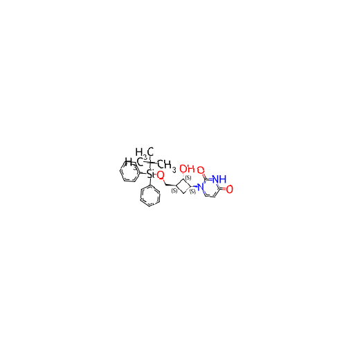 CC(C)(C)[Si](OC[C@@H]1C[C@H](n2ccc(=O)[nH]c2=O)[C@H]1O)(c1ccccc1)c1ccccc1